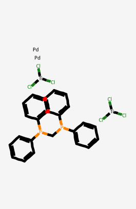 [Cl][Ti]([Cl])[Cl].[Cl][Ti]([Cl])[Cl].[Pd].[Pd].c1ccc(P(CP(c2ccccc2)c2ccccc2)c2ccccc2)cc1